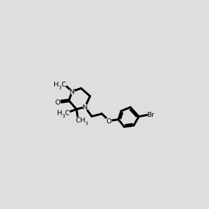 CN1CCN(CCOc2ccc(Br)cc2)C(C)(C)C1=O